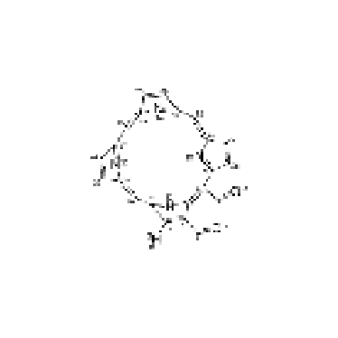 [2H]C1=C(C=O)C2=C(C=O)C3=NC(=CC4=NC(=CC5=NC(=CC1=N2)C=C5)C=C4)C=C3